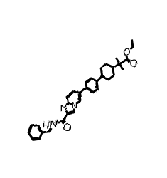 CCOC(=O)C(C)(C)C1CCC(c2ccc(-c3ccc4nc(C(=O)NCc5ccccc5)cn4c3)cc2)CC1